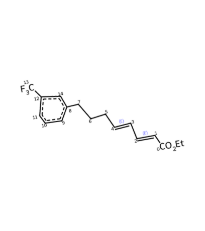 CCOC(=O)/C=C/C=C/CCCc1cccc(C(F)(F)F)c1